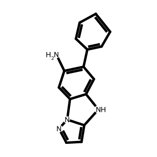 Nc1cc2c(cc1-c1ccccc1)[nH]c1ccnn12